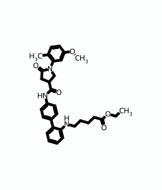 CCOC(=O)CCCCNc1ccccc1-c1ccc(NC(=O)C2CC(=O)N(c3cc(OC)ccc3C)C2)cc1